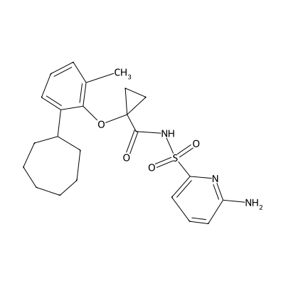 Cc1cccc(C2CCCCCC2)c1OC1(C(=O)NS(=O)(=O)c2cccc(N)n2)CC1